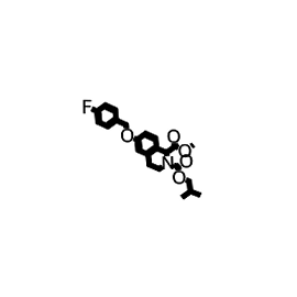 COC(=O)C1c2ccc(OCc3ccc(F)cc3)cc2CCN1C(=O)OCC(C)C